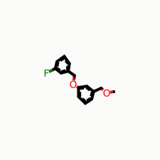 COCc1cccc(OCc2cccc(F)c2)c1